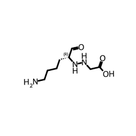 NCCCC[C@H](C=O)NNCC(=O)O